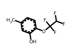 Cc1ccc(OC(F)(F)C(F)F)c(O)c1